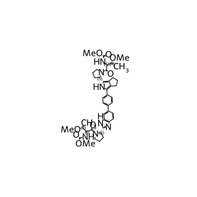 COC(=O)N[C@H](C(=O)N1CCC[C@H]1c1nc2ccc(-c3ccc(-c4[nH]c([C@@H]5CCCN5C(=O)[C@@H](NC(=O)OC)[C@@H](C)OC)c5c4CCC5)cc3)cc2[nH]1)[C@@H](C)OC